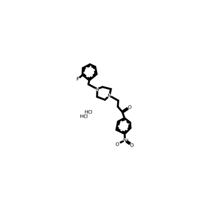 Cl.Cl.O=C(CCN1CCN(Cc2ccccc2F)CC1)c1ccc([N+](=O)[O-])cc1